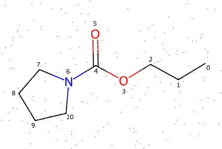 CCCOC(=O)N1CCCC1